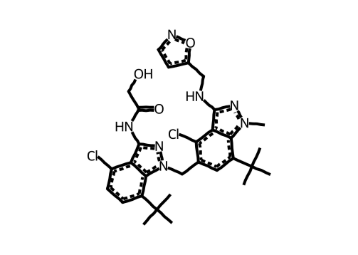 Cn1nc(NCc2ccno2)c2c(Cl)c(Cn3nc(NC(=O)CO)c4c(Cl)ccc(C(C)(C)C)c43)cc(C(C)(C)C)c21